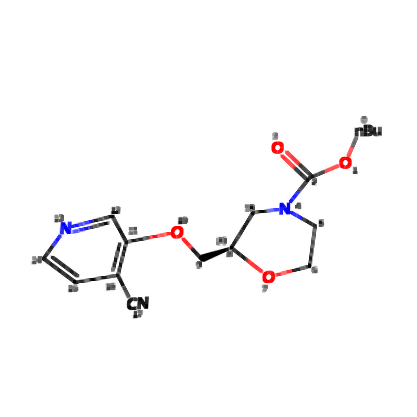 CCCCOC(=O)N1CCO[C@@H](COc2cnccc2C#N)C1